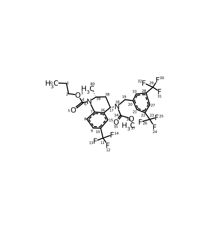 CCCOC(=O)N1c2ccc(C(F)(F)F)cc2[C@@H](N(Cc2cc(C(F)(F)F)cc(C(F)(F)F)c2)C(=O)OC)C[C@H]1C